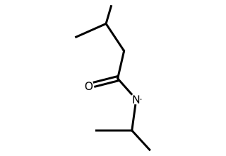 CC(C)CC(=O)[N]C(C)C